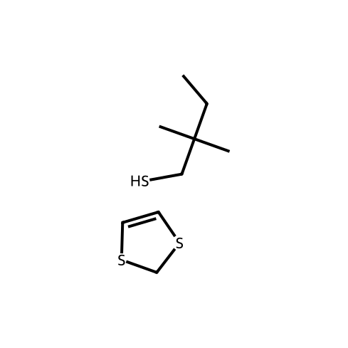 C1=CSCS1.CCC(C)(C)CS